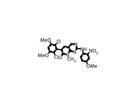 COc1ccc(Nc2ncc3cc(-c4c(Cl)c(OC)cc(OC)c4Cl)c(=O)n(C)c3n2)c([N+](=O)[O-])c1